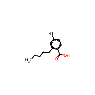 [2H]c1ccc(C(=O)O)c(CCCCC)c1